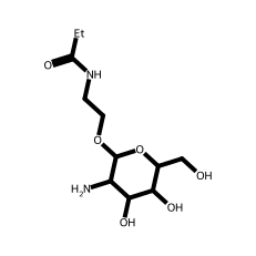 CCC(=O)NCCOC1OC(CO)C(O)C(O)C1N